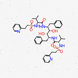 CC(C)[C@H](NS(=O)(=O)CCc1ccccn1)C(=O)N[C@@H](Cc1ccccc1)[C@H](O)[C@H](O)[C@H](Cc1ccccc1)NC(=O)[C@@H](NS(=O)(=O)CCc1ccccn1)C(C)C